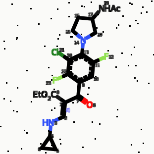 CCOC(=O)/C(=C\NC1CC1)C(=O)c1cc(F)c(N2CCC(NC(C)=O)C2)c(Cl)c1F